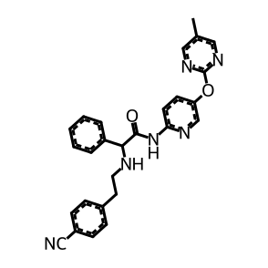 Cc1cnc(Oc2ccc(NC(=O)C(NCCc3ccc(C#N)cc3)c3ccccc3)nc2)nc1